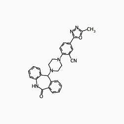 Cc1nnc(-c2ccc(N3CCN(C4c5ccccc5NC(=O)c5ccccc54)CC3)c(C#N)c2)o1